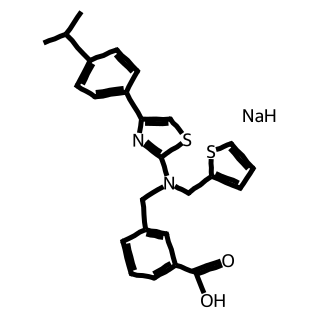 CC(C)c1ccc(-c2csc(N(Cc3cccc(C(=O)O)c3)Cc3cccs3)n2)cc1.[NaH]